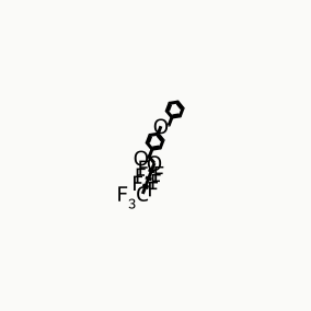 O=C(OC(F)(F)C(F)(F)C(F)(F)C(F)(F)F)c1ccc(OCc2ccccc2)cc1